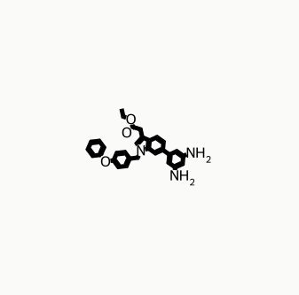 CCOC(=O)Cc1cn(Cc2ccc(Oc3ccccc3)cc2)c2cc(-c3cc(N)cc(N)c3)ccc12